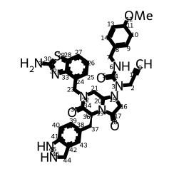 C#CCN(C(=O)NCC1=CCC(OC)C=C1)N1CC(=O)N2C1CN(Cc1cccc3sc(N)nc13)C(=O)[C@@H]2Cc1ccc2c(c1)CNN2